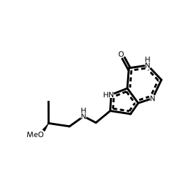 CO[C@@H](C)CNCc1cc2nc[nH]c(=O)c2[nH]1